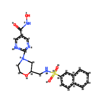 O=C(NO)c1cnc(N2CCOC(CNS(=O)(=O)c3ccc4ccccc4c3)C2)nc1